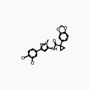 Cn1nc(-c2ccc(Cl)c(Cl)c2)cc1NC(=O)C1(c2ccc3c(c2)OCO3)CC1